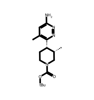 Cc1cc(N)nnc1[C@H]1CCN(C(=O)OC(C)(C)C)C[C@H]1C